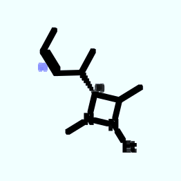 C/C=C\C(C)[C@@H]1C(C)N(CC)N1C